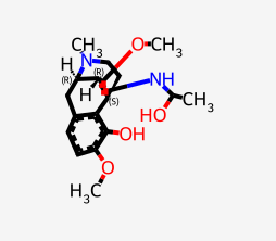 COc1ccc2c(c1O)[C@]13CCN(C)[C@H](C2)[C@@H]1CC(OC)C(NC(C)O)C3